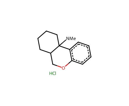 CNC12CCCCC1COc1ccccc12.Cl